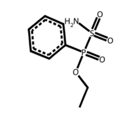 CCOP(=O)(c1ccccc1)S(N)(=O)=O